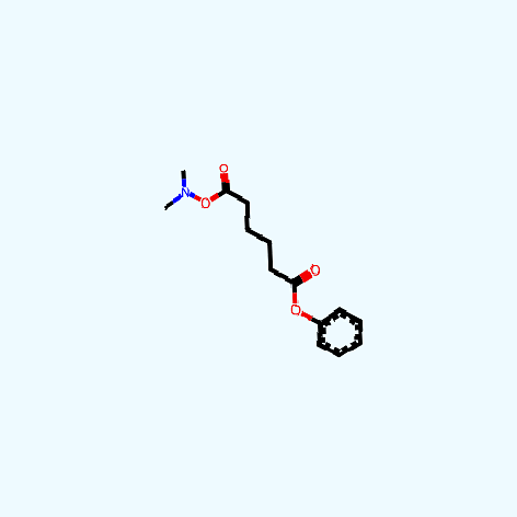 CN(C)OC(=O)CCCCC(=O)Oc1ccccc1